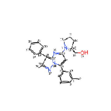 Cc1cccc(-c2cc(N3CCC[C@H]3CO)nc3c(-c4ccccc4)c(C)nn23)c1